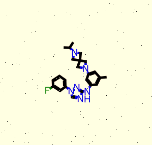 Cc1cc(Nc2ncn(-c3cccc(F)c3)n2)cc(N2CC3(C2)CN(C(C)C)C3)c1